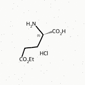 CCOC(=O)CC[C@H](N)C(=O)O.Cl